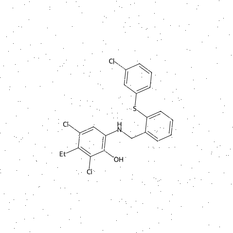 CCc1c(Cl)cc(NCc2ccccc2Sc2cccc(Cl)c2)c(O)c1Cl